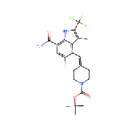 Cc1c(C(F)(F)F)[nH]c2c(C(N)=O)cc(F)c(C=C3CCN(C(=O)OC(C)(C)C)CC3)c12